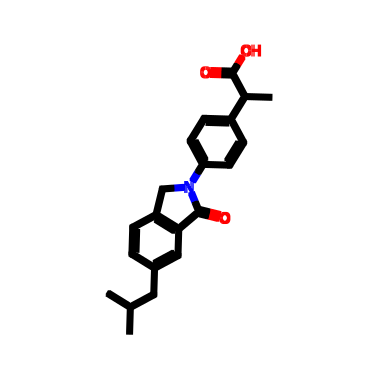 CC(C)Cc1ccc2c(c1)C(=O)N(c1ccc(C(C)C(=O)O)cc1)C2